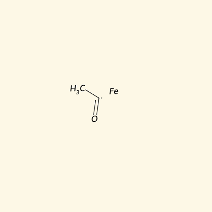 C[C]=O.[Fe]